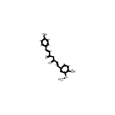 COc1cc(/C=C/C(=O)CC(=O)C=Cc2ccc(O)cc2)ccc1O